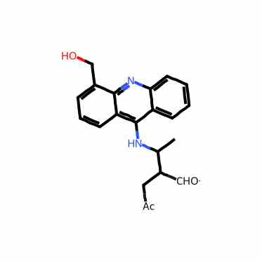 CC(=O)CC([C]=O)C(C)Nc1c2ccccc2nc2c(CO)cccc12